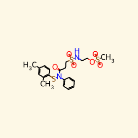 Cc1ccc(SN(C(=O)CCS(=O)(=O)NCCOS(C)(=O)=O)c2ccccc2)c(C)c1